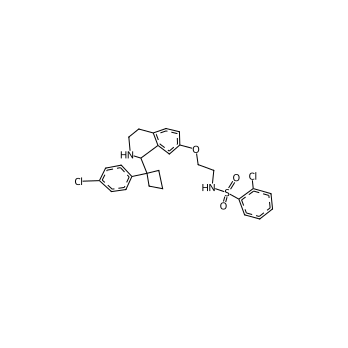 O=S(=O)(NCCOc1ccc2c(c1)C(C1(c3ccc(Cl)cc3)CCC1)NCC2)c1ccccc1Cl